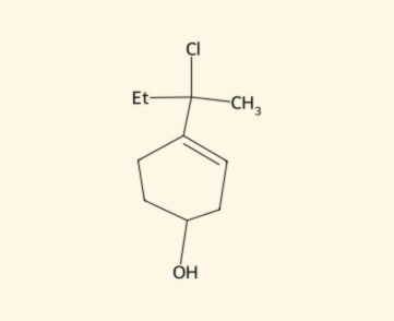 CCC(C)(Cl)C1=CCC(O)CC1